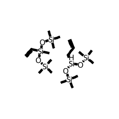 C=CC[SiH](O[Si](C)(C)C)O[Si](C)(C)C.C=C[Si](C)(O[Si](C)(C)C)O[Si](C)(C)C